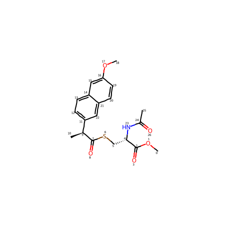 COC(=O)[C@H](CSC(=O)[C@@H](C)c1ccc2cc(OC)ccc2c1)NC(C)=O